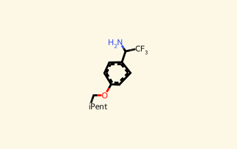 CCCC(C)COc1ccc(C(N)C(F)(F)F)cc1